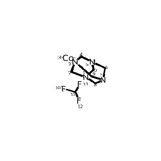 C1N2CN3CN1CN(C2)C3.FC(F)F.[Co]